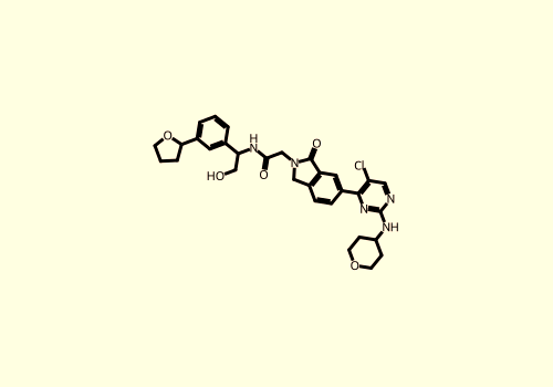 O=C(CN1Cc2ccc(-c3nc(NC4CCOCC4)ncc3Cl)cc2C1=O)NC(CO)c1cccc(C2CCCO2)c1